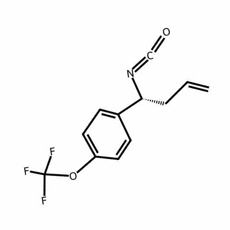 C=CC[C@@H](N=C=O)c1ccc(OC(F)(F)F)cc1